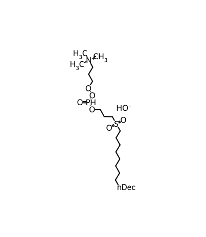 CCCCCCCCCCCCCCCCCCS(=O)(=O)CCCO[PH](=O)OOCCC[N+](C)(C)C.[OH-]